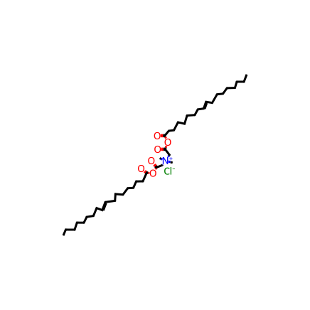 CCCCCCCCC=CCCCCCCCC(=O)OC(=O)C[N+](C)(C)CC(=O)OC(=O)CCCCCCCC=CCCCCCCCC.[Cl-]